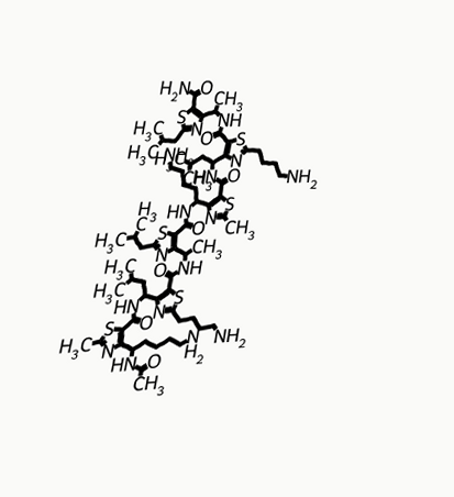 CC(=O)NC(CCCCN)c1nc(C)sc1C(=O)NC(CC(C)C)c1nc(CCCCN)sc1C(=O)NC(C)c1nc(CC(C)C)sc1C(=O)NC(CCCCN)c1nc(C)sc1C(=O)NC(CC(C)C)c1nc(CCCCN)sc1C(=O)NC(C)c1nc(CC(C)C)sc1C(N)=O